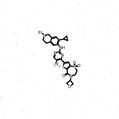 CCN1CCc2cc(Nc3ncc(C(F)(F)F)c(-c4cc5c(s4)C(=O)N(C4COC4)CCS5(=O)=O)n3)c(C3CC3)cc2C1